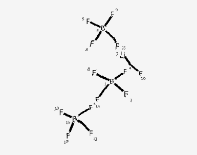 F[B-](F)(F)F.F[B-](F)(F)F.F[B-](F)(F)F.[Li][F]